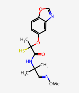 CON=CC(C)(C)NC(=O)C(C)(S)Oc1ccc2ocnc2c1